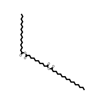 CCCCCCCCCCCCCCCC(=O)OC(=O)CCCCCCCCC(=O)OC(=O)CCCCCCCCCCCCCCC